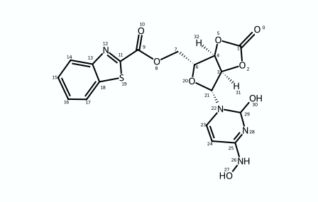 O=C1O[C@@H]2[C@H](O1)[C@@H](COC(=O)c1nc3ccccc3s1)O[C@H]2N1C=CC(NO)=NC1O